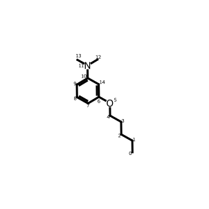 CCCCCOc1cccc(N(C)C)c1